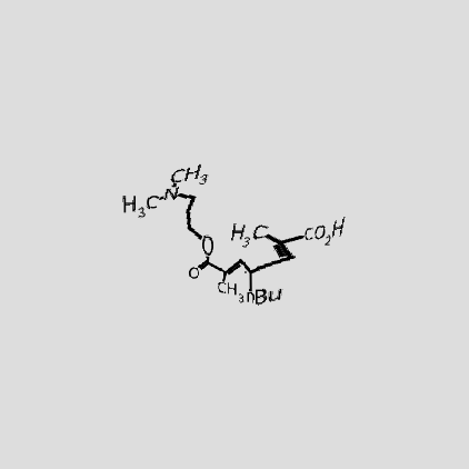 CCCC[C](C=C(C)C(=O)O)C=C(C)C(=O)OCCN(C)C